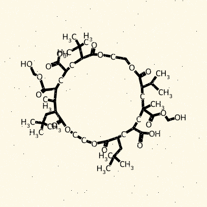 CC(C)C1CC(C)(C(=O)OCO)CC(C(=O)O)CC(CC(C)(C)C)C(=O)OCCOC(=O)C(CC(C)(C)C)C(C)C(C(=O)OCO)CC(C(=O)O)CC(C(C)(C)C)C(=O)OCCOC1=O